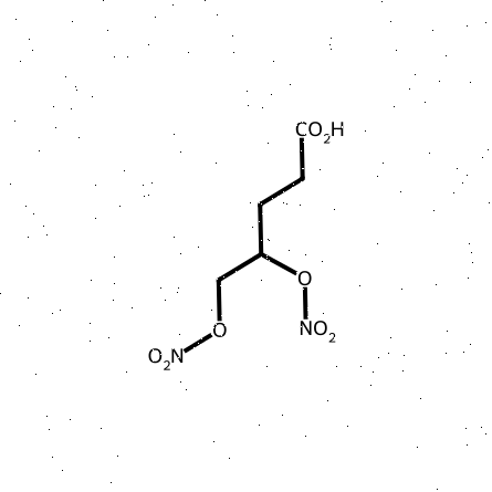 O=C(O)CCC(CO[N+](=O)[O-])O[N+](=O)[O-]